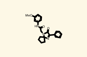 COc1cccc(NC(=O)CN2C(=O)C(c3ccccc3)=NC23CCCC3)c1